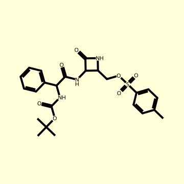 Cc1ccc(S(=O)(=O)OCC2NC(=O)C2NC(=O)C(NC(=O)OC(C)(C)C)c2ccccc2)cc1